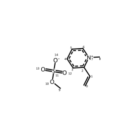 C=Cc1cccc[n+]1C.COS(=O)(=O)[O-]